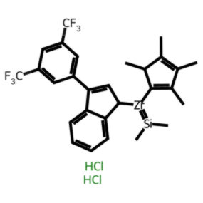 CC1=C(C)C(C)[C]([Zr]([CH]2C=C(c3cc(C(F)(F)F)cc(C(F)(F)F)c3)c3ccccc32)=[Si](C)C)=C1C.Cl.Cl